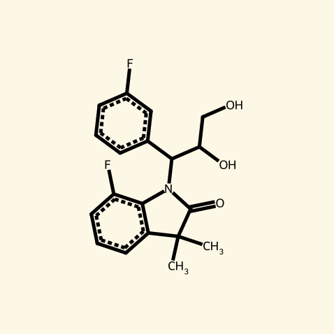 CC1(C)C(=O)N(C(c2cccc(F)c2)C(O)CO)c2c(F)cccc21